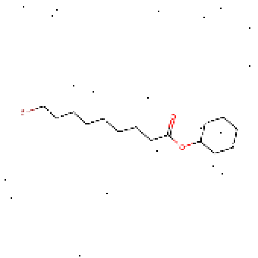 O=C(CCCCCCCCBr)OC1CCCCC1